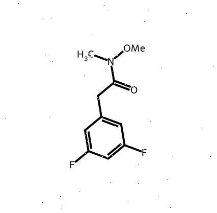 CON(C)C(=O)Cc1cc(F)cc(F)c1